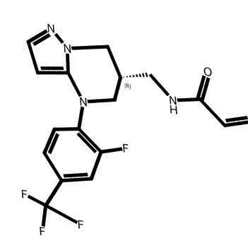 C=CC(=O)NC[C@@H]1CN(c2ccc(C(F)(F)F)cc2F)c2ccnn2C1